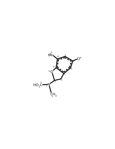 CN(C(=O)O)C1Cc2cc(Cl)cc(C(C)(C)C)c2O1